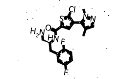 Cc1cnn(C)c1-c1cc(C(=O)N[C@H](CN)Cc2cc(F)ccc2F)sc1Cl